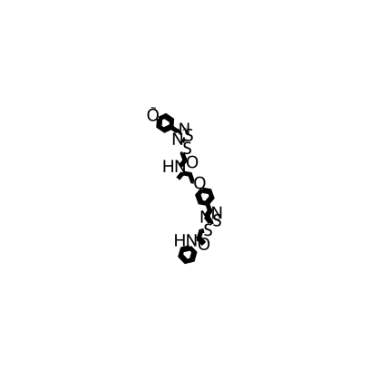 COc1ccc(-c2nsc(SCC(=O)NC(C)CCOc3ccc(-c4nsc(SCC(=O)Nc5ccccc5)n4)cc3)n2)cc1